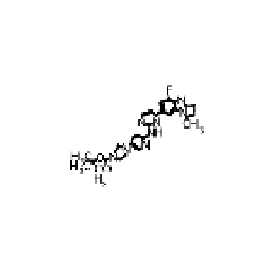 CC1CCc2nc3c(F)cc(-c4ccnc(Nc5ccc(N6CCN(C(=O)OC(C)(C)C)CC6)cn5)n4)cc3n21